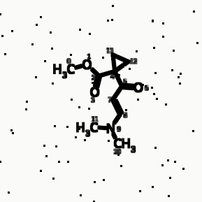 COC(=O)C1(C(=O)/C=C/N(C)C)CC1